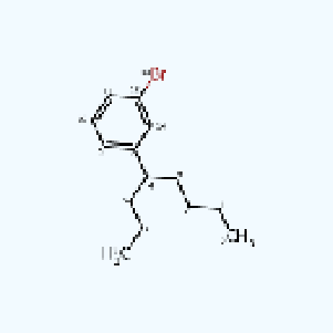 CCCCC(CCC)c1cccc(Br)c1